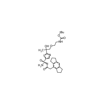 CC(C)(C)OC(=O)NCCOCC(C)(O)c1ncc(S(N)(=O)=NC(=O)Cc2c3c(cc4c2CCC4)CCC3)s1